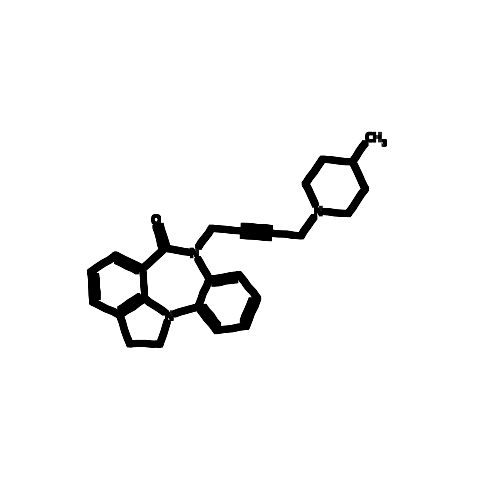 CC1CCN(CC#CCN2C(=O)c3cccc4c3N(CC4)c3ccccc32)CC1